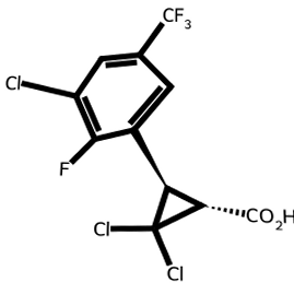 O=C(O)[C@H]1[C@H](c2cc(C(F)(F)F)cc(Cl)c2F)C1(Cl)Cl